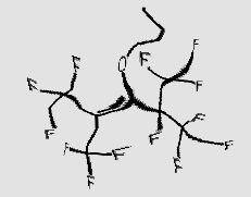 CCOC(=C(C(F)(F)F)C(F)(F)F)C(F)(C(F)(F)F)C(F)(F)F